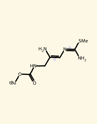 CS/C(N)=N/C=C(\N)CNC(=O)OC(C)(C)C